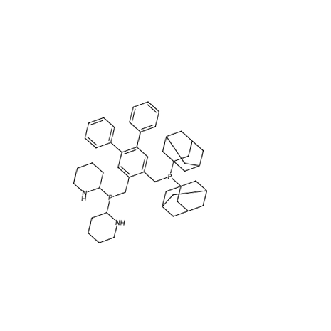 c1ccc(-c2cc(CP(C3CCCCN3)C3CCCCN3)c(CP(C34CC5CC(CC(C5)C3)C4)C34CC5CC(CC(C5)C3)C4)cc2-c2ccccc2)cc1